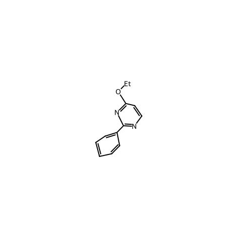 CCOc1ccnc(-c2ccccc2)n1